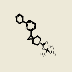 CC(C)(C)OC(=O)N1CCC2(CC1)CC2c1cccc(-c2ccccc2)n1